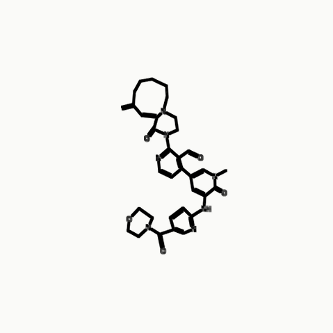 C=C1/C=C2/C(=O)N(c3nccc(-c4cc(Nc5ccc(C(=O)N6CCOCC6)cn5)c(=O)n(C)c4)c3C=O)CCN2CCCCC1